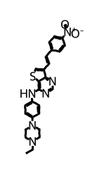 CCN1CCN(c2ccc(Nc3ncnc4c(C=Cc5ccc([N+](=O)[O-])cc5)csc34)cc2)CC1